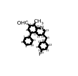 Cc1c(C=O)cc(-c2ccccc2)c2cc(Cc3ccc(F)cc3)cnc12